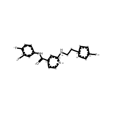 O=C(Nc1ccc(F)c(F)c1)c1ccnc(NCCc2ccc(F)cc2)c1